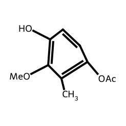 COc1c(O)ccc(OC(C)=O)c1C